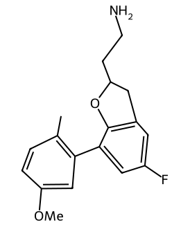 COc1ccc(C)c(-c2cc(F)cc3c2OC(CCN)C3)c1